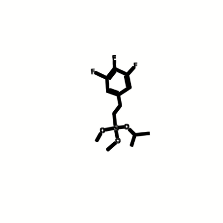 CO[Si](CCc1cc(F)c(F)c(F)c1)(OC)OC(C)C